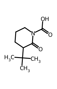 CC(C)(C)C1CCCN(C(=O)O)C1=O